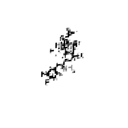 CCC(CC[C@H](N)Cc1cc(F)c(F)cc1F)N(CC(C)C)C(=O)C(C)(C)NS(=O)(=O)C1CC1